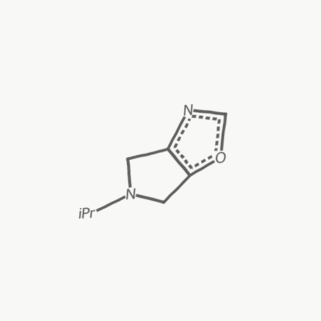 CC(C)N1Cc2ncoc2C1